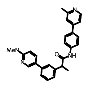 CNc1ccc(-c2cccc(C(C)C(=O)Nc3ccc(-c4ccnc(C)c4)cc3)c2)cn1